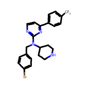 FC(F)(F)c1ccc(-c2ccnc(N(Cc3ccc(Br)cc3)C3CCNCC3)n2)cc1